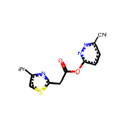 CC(C)c1csc(CC(=O)Oc2ccc(C#N)nn2)n1